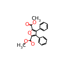 COC(=O)c1oc(C(=O)OC)c(-c2ccccc2)c1-c1ccccc1